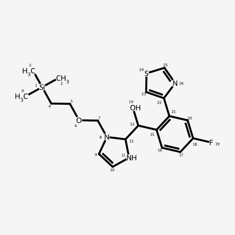 C[Si](C)(C)CCOCN1C=CNC1C(O)c1ccc(F)cc1-c1cscn1